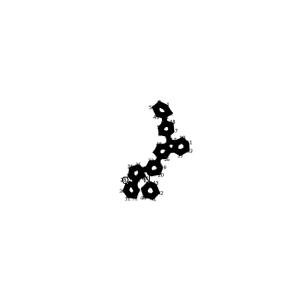 c1ccc(-c2ccc(C3c4ccccc4-c4cc(-c5ccc6c(c5)c5ccc7oc8ccccc8c7c5n6-c5ccccc5)ccc43)cc2)cc1